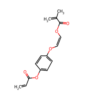 C=CC(=O)Oc1ccc(O/C=C\OC(=O)C(=C)C)cc1